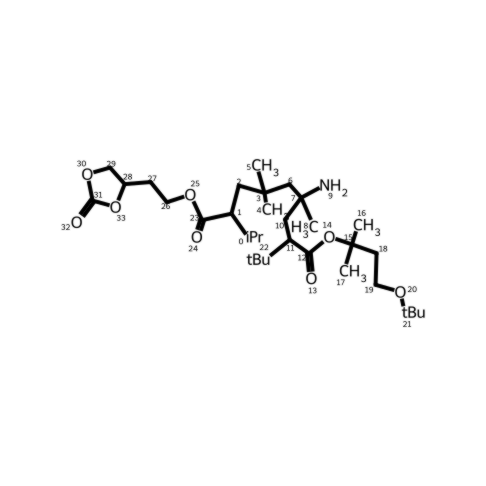 CC(C)C(CC(C)(C)CC(C)(N)CC(C(=O)OC(C)(C)CCOC(C)(C)C)C(C)(C)C)C(=O)OCCC1COC(=O)O1